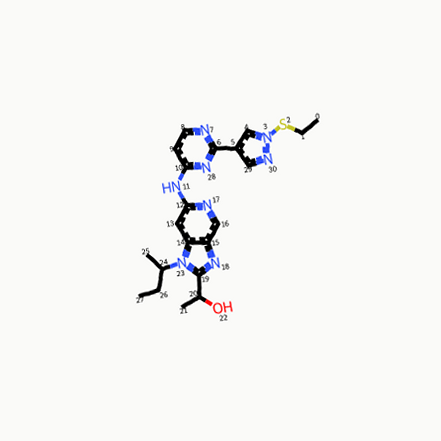 CCSn1cc(-c2nccc(Nc3cc4c(cn3)nc(C(C)O)n4C(C)CC)n2)cn1